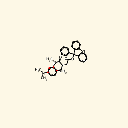 CN(C)CC[C@@H](CN)N(C)C(=O)[C@@H](CC(=O)OC(c1ccccc1)(c1ccccc1)c1ccccc1Cl)Cc1ccccc1